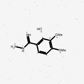 COc1ccc(C(=N)NN)cc1OC.Cl